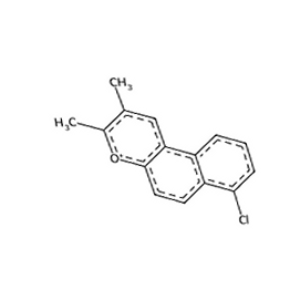 Cc1cc2c(ccc3c(Cl)cccc32)[o+]c1C